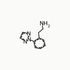 NCCc1ccccc1-n1nccn1